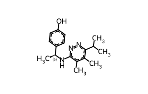 Cc1c(N[C@@H](C)c2ccc(O)cc2)nnc(C(C)C)c1C